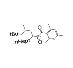 CCCCCCCC(CC(C)CC(C)(C)C)[P](=O)C(=O)c1c(C)cc(C)cc1C